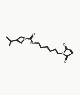 CC(C)C1CN(C(=O)NCCCCCCN2C(=O)C=CC2=O)C1